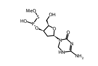 COSP(O)O[C@@H]1C[C@H](N2CNC(N)=NC2=O)O[C@@H]1CO